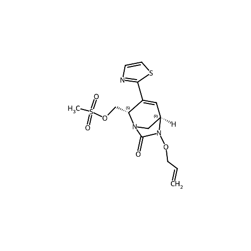 C=CCON1C(=O)N2C[C@H]1C=C(c1nccs1)[C@H]2COS(C)(=O)=O